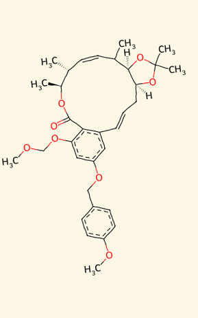 COCOc1cc(OCc2ccc(OC)cc2)cc2c1C(=O)O[C@@H](C)[C@H](C)/C=C\C(C)[C@H]1OC(C)(C)O[C@H]1C/C=C/2